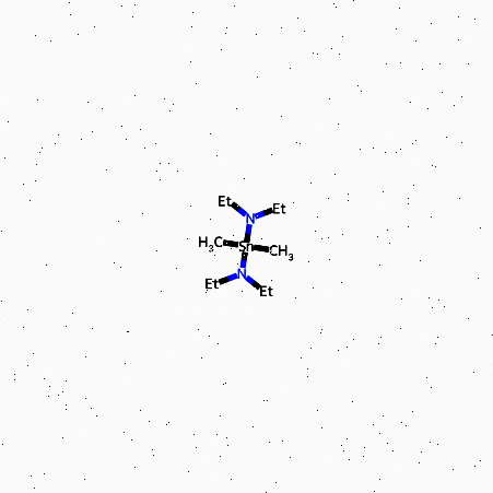 CC[N](CC)[Sn]([CH3])([CH3])[N](CC)CC